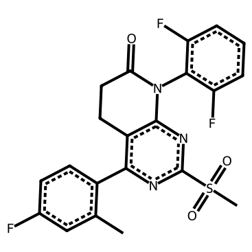 Cc1cc(F)ccc1-c1nc(S(C)(=O)=O)nc2c1CCC(=O)N2c1c(F)cccc1F